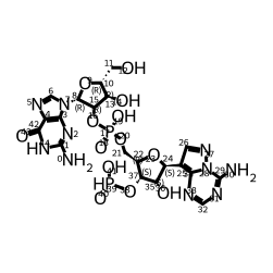 Nc1nc2c(ncn2[C@@H]2O[C@H](CO)[C@@H](O)[C@H]2OP(=O)(O)OC[C@H]2O[C@@H](c3cnn4c(N)ncnc34)[C@H](O)[C@@H]2O[PH](=O)O)c(=O)[nH]1